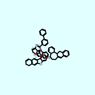 C[C@@H]1C/C=C(c2ccc3ccccc3c2)/N=C(c2cccc(-c3ccccc3)c2)\N=C/1c1cc([C@@H]2CCC3=Cc4ccccc4CC3C3C=CC=CC32)cc2oc3cc4c(cc3c12)C=CCC4